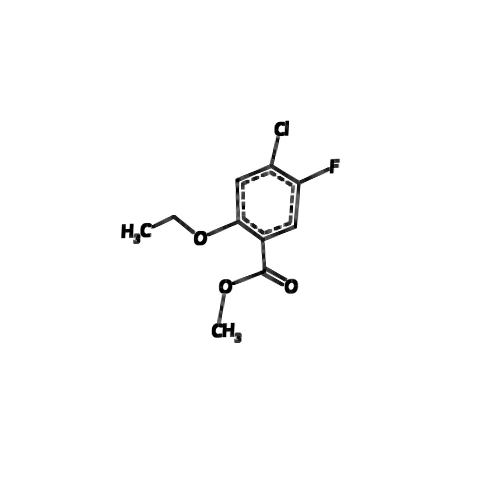 CCOc1cc(Cl)c(F)cc1C(=O)OC